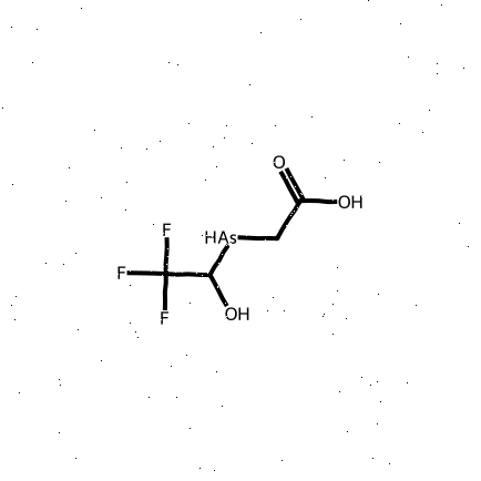 O=C(O)C[AsH]C(O)C(F)(F)F